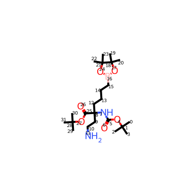 CC(C)(C)OC(=O)NC(CCN)(CCCCB1OC(C)(C)C(C)(C)O1)C(=O)OC(C)(C)C